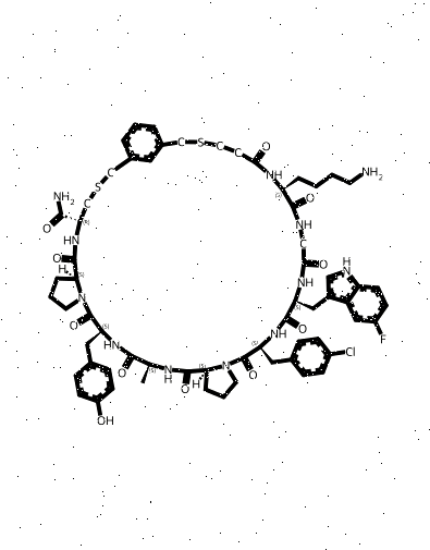 C[C@@H]1NC(=O)[C@@H]2CCCN2C(=O)[C@H](Cc2ccc(Cl)cc2)NC(=O)[C@H](Cc2c[nH]c3ccc(F)cc23)NC(=O)CNC(=O)[C@H](CCCCN)NC(=O)CCSCc2cccc(c2)CSC[C@@H](C(N)=O)NC(=O)[C@@H]2CCCN2C(=O)[C@H](Cc2ccc(O)cc2)NC1=O